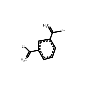 C=C(CC)c1cccc(C(=C)CC)c1